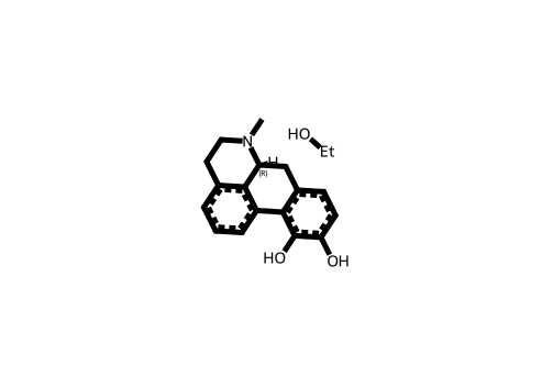 CCO.CN1CCc2cccc3c2[C@H]1Cc1ccc(O)c(O)c1-3